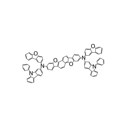 c1ccc(-n2c3ccccc3c3ccc(N(c4ccc5c(c4)oc4c5ccc5c4ccc4c6ccc(N(c7ccc8oc9ccccc9c8c7)c7ccc8c9ccccc9n(-c9ccccc9)c8c7)cc6oc45)c4ccc5oc6ccccc6c5c4)cc32)cc1